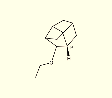 CCOC1C2CC3CC2C[C@@H]1C3